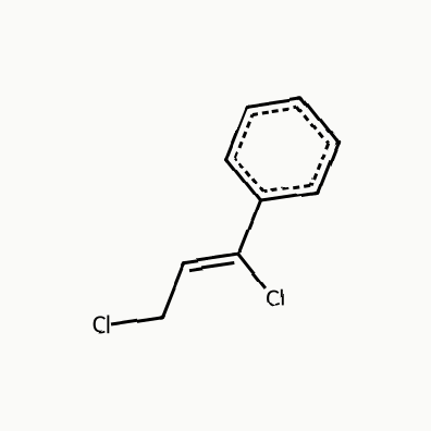 ClCC=C(Cl)c1ccccc1